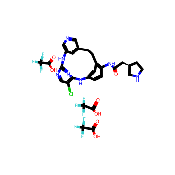 O=C(C[C@H]1CCNC1)Nc1ccc2cc1CCc1cncc(c1)Nc1ncc(Cl)c(n1)N2.O=C(O)C(F)(F)F.O=C(O)C(F)(F)F.O=C(O)C(F)(F)F